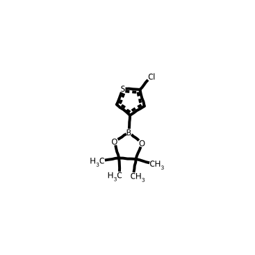 CC1(C)OB(c2csc(Cl)c2)OC1(C)C